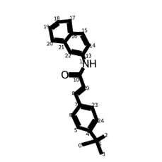 CC(C)(C)c1ccc(/C=C/C(=O)Nc2ccc3ccccc3c2)cc1